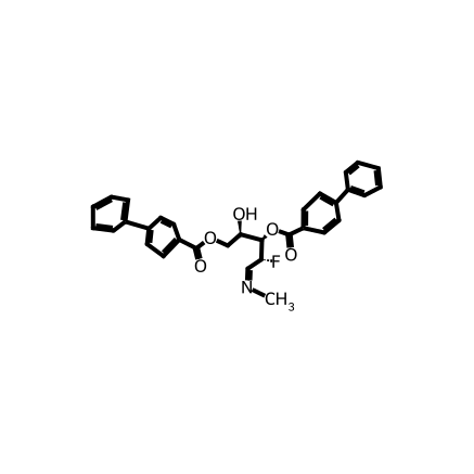 C/N=C\[C@@H](F)[C@H](OC(=O)c1ccc(-c2ccccc2)cc1)[C@H](O)COC(=O)c1ccc(-c2ccccc2)cc1